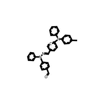 Cc1ccc(N(c2ccccc2)c2ccc(/C=N/N(c3ccccc3)c3ccc(C=O)cc3)cc2)cc1